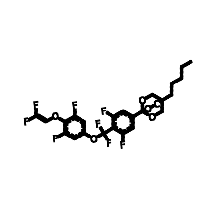 CCCCCC12COC(c3cc(F)c(C(F)(F)Oc4cc(F)c(OC=C(F)F)c(F)c4)c(F)c3)(OC1)OC2